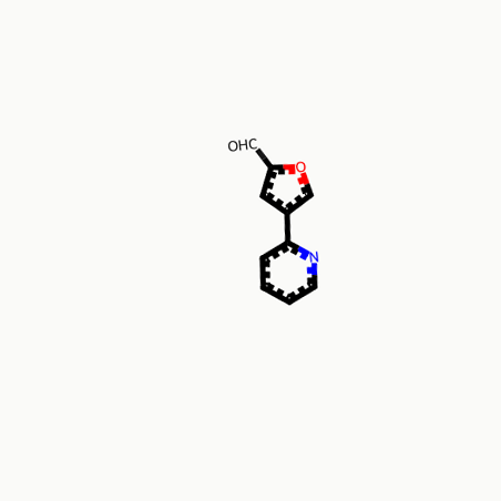 O=Cc1cc(-c2ccccn2)co1